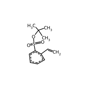 C=Cc1ccccc1S(=O)(=O)OC(C)(C)C